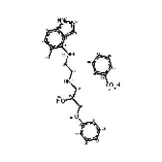 Cc1ccc2[nH]ncc2c1NCCNCC(O)COc1ccccc1.O=C(O)c1ccccc1